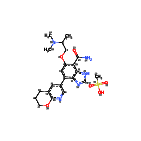 CC(COc1cc(-c2cnc3c(c2)CCCO3)c2nc[nH]c2c1C(N)=O)N(C)C.CS(=O)(=O)O